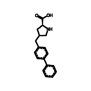 O=C(O)[C@@H]1CC(Cc2ccc(-c3ccccc3)cc2)CN1